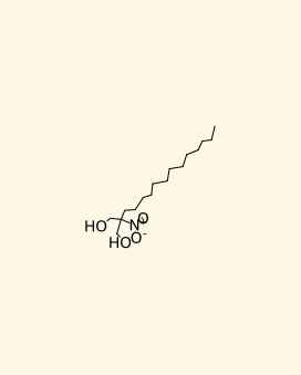 CCCCCCCCCCCCCC(CO)(CO)[N+](=O)[O-]